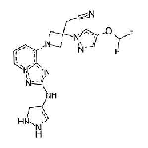 N#CCC1(n2cc(OC(F)F)cn2)CN(c2cccn3nc(NC4=CNNC4)nc23)C1